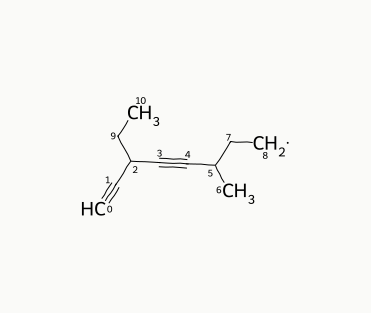 C#CC(C#CC(C)C[CH2])CC